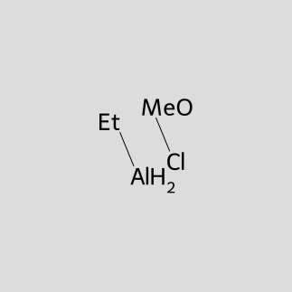 COCl.C[CH2][AlH2]